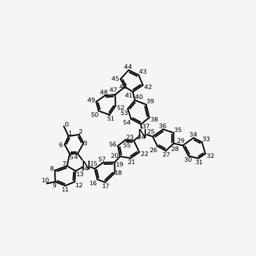 Cc1ccc2c(c1)c1cc(C)ccc1n2-c1cccc(-c2ccc(N(c3ccc(-c4ccccc4)cc3)c3ccc(-c4ccccc4-c4ccccc4)cc3)cc2)c1